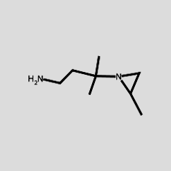 CC1CN1C(C)(C)CCN